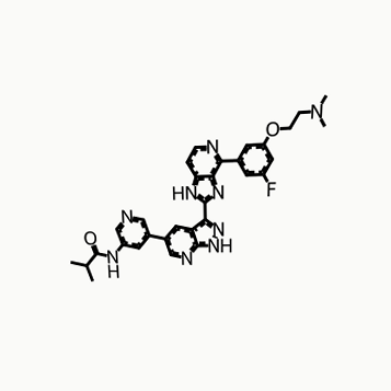 CC(C)C(=O)Nc1cncc(-c2cnc3[nH]nc(-c4nc5c(-c6cc(F)cc(OCCN(C)C)c6)nccc5[nH]4)c3c2)c1